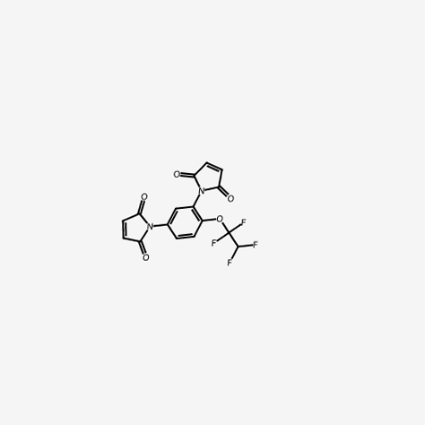 O=C1C=CC(=O)N1c1ccc(OC(F)(F)C(F)F)c(N2C(=O)C=CC2=O)c1